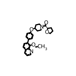 CCOc1c(-c2ccc(OC3CCN(C(=O)[C@H]4CCCO4)CC3)cc2)ccc2cccnc12